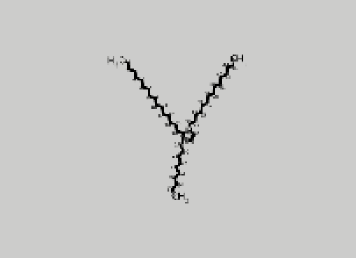 CCCCCCCCCCCCCCCCCC1N(CCCCCCCCCC)C=CN1CCCCCCCCCCCCCCC